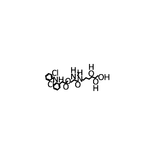 N[C@@H](COC(=O)Cc1ccccc1Nc1c(Cl)cccc1Cl)C(=O)NCCC[C@H](O)[C@H](O)CO